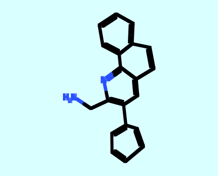 NCc1nc2c(ccc3ccccc32)cc1-c1ccccc1